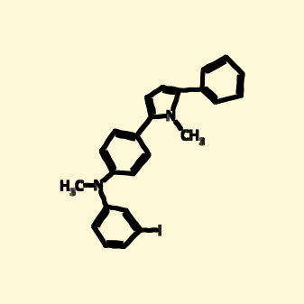 CN(c1ccc(-c2ccc(-c3ccccc3)n2C)cc1)c1cccc(I)c1